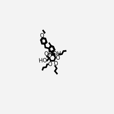 CCCCOC1[C@@H](OCCCC)[C@H](OCCCC)C(CO)(CO)OC1(O)c1ccc(C)c(Cc2ccc(OCC)cc2)c1